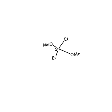 C[CH2][Sn]([CH2]C)([O]C)[O]C